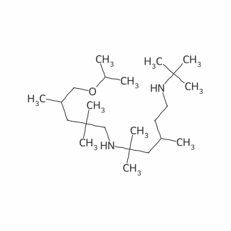 CC(COC(C)C)CC(C)(C)CNC(C)(C)CC(C)CCNC(C)(C)C